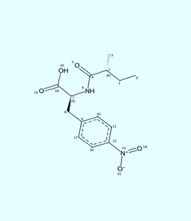 CC[C@@H](C)C(=O)N[C@@H](Cc1ccc([N+](=O)[O-])cc1)C(=O)O